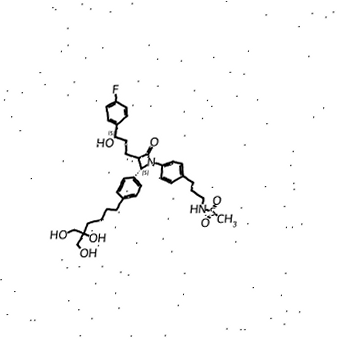 CS(=O)(=O)NCCCc1ccc(N2C(=O)C(CC[C@H](O)c3ccc(F)cc3)[C@H]2c2ccc(CCCCC(O)(CO)CO)cc2)cc1